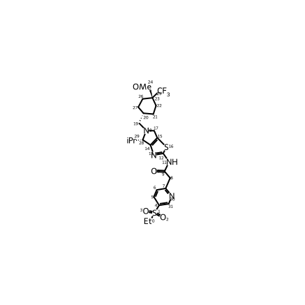 CCS(=O)(=O)c1ccc(CC(=O)Nc2nc3c(s2)CN(C[C@H]2CC[C@@](OC)(C(F)(F)F)CC2)[C@H]3C(C)C)nc1